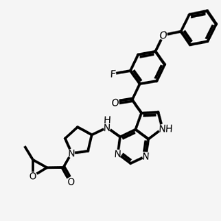 CC1OC1C(=O)N1CCC(Nc2ncnc3[nH]cc(C(=O)c4ccc(Oc5ccccc5)cc4F)c23)C1